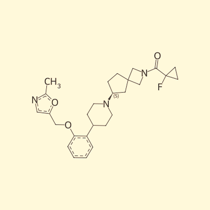 Cc1ncc(COc2ccccc2C2CCN([C@H]3CCC4(C3)CN(C(=O)C3(F)CC3)C4)CC2)o1